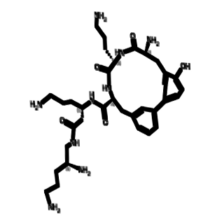 NCCC[C@H](N)CNC(=O)C[C@H](CCCN)NC(=O)[C@@H]1Cc2cccc(c2)-c2ccc(O)c(c2)C[C@H](N)C(=O)N[C@@H](CCCN)C(=O)N1